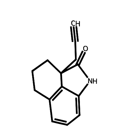 C#CCC12CCCc3cccc(c31)NC2=O